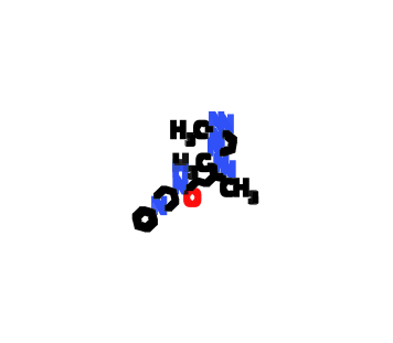 Cc1nn(-c2ccc3nnc(C)n3n2)c(C)c1CCC(=O)NC1CCN(c2ccccc2)CC1